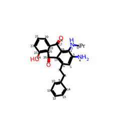 CC(C)Nc1c(N)cc(CCc2ccccc2)c2c1C(=O)c1cccc(O)c1C2=O